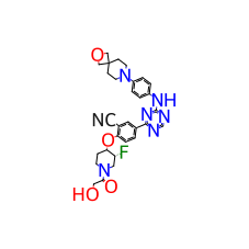 N#Cc1cc(-c2ncnc(Nc3ccc(N4CCC5(CC4)COC5)cc3)n2)ccc1O[C@H]1CCN(C(=O)CO)C[C@H]1F